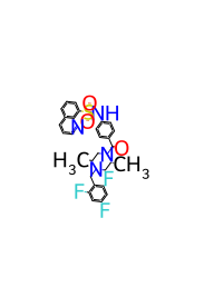 CC1CN(C(=O)c2ccc(NS(=O)(=O)c3cccc4cccnc34)cc2)[C@H](C)CN1Cc1c(F)cc(F)cc1F